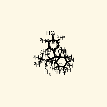 [2H]c1c([2H])c(C(C([2H])([2H])N(C)C([2H])([2H])[2H])C2(O)C([2H])([2H])C([2H])([2H])C([2H])([2H])C([2H])([2H])C2([2H])[2H])c([2H])c([2H])c1O